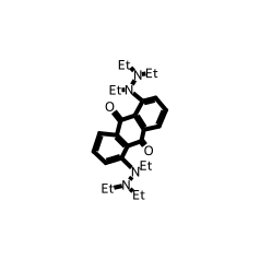 CCN(CC)N(CC)c1cccc2c1C(=O)c1cccc(N(CC)N(CC)CC)c1C2=O